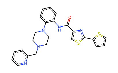 O=C(Nc1ccccc1N1CCN(Cc2ccccn2)CC1)c1csc(-c2cccs2)n1